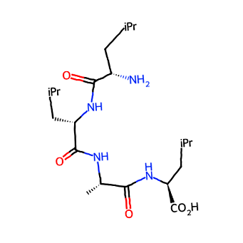 CC(C)C[C@H](NC(=O)[C@H](C)NC(=O)[C@H](CC(C)C)NC(=O)[C@@H](N)CC(C)C)C(=O)O